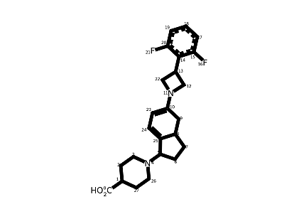 O=C(O)C1CCN(C2CCC3CC(N4CC(c5c(F)cccc5F)C4)=CC=C32)CC1